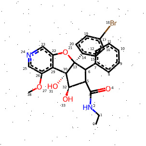 CCNC(=O)C1C(c2ccccc2)[C@]2(c3ccc(Br)cc3)Oc3cncc(OC)c3[C@]2(O)[C@@H]1O